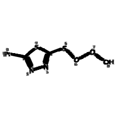 CC(C)c1nnc(SOOO)s1